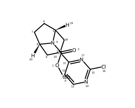 CC(C)(C)OC(=O)N1[C@@H]2CC[C@H]1CN(c1ccnc(Cl)n1)C2